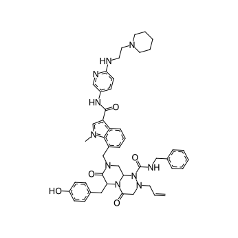 C=CCN1CC(=O)N2C(Cc3ccc(O)cc3)C(=O)N(Cc3cccc4c(C(=O)Nc5ccc(NCCN6CCCCC6)nc5)cn(C)c34)CC2N1C(=O)NCc1ccccc1